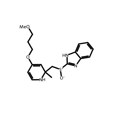 COCCCOC1=CC(C)(C[S+]([O-])c2nc3ccccc3[nH]2)NC=C1